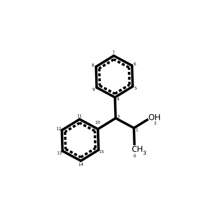 CC(O)C(c1ccccc1)c1ccccc1